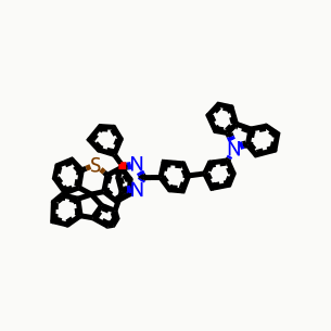 c1ccc(-c2cc(-c3cccc4c3C3(c5ccccc5Sc5ccccc53)c3ccccc3-4)nc(-c3ccc(-c4cccc(-n5c6ccccc6c6ccccc65)c4)cc3)n2)cc1